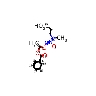 CC(ON=[N+]([O-])N(C)CCC(=O)O)OC(=O)c1ccccc1